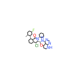 Cc1ccc(F)cc1-c1cccc2c(Cl)c([C@H](C)Nc3ncnc4[nH]ccc(=O)c34)n(-c3ccccc3)c(=O)c12